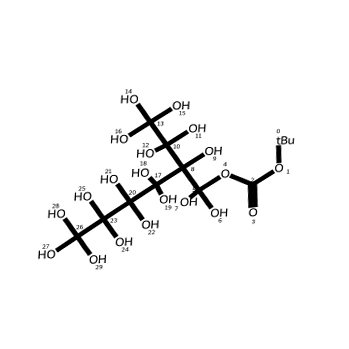 CC(C)(C)OC(=O)OC(O)(O)C(O)(C(O)(O)C(O)(O)O)C(O)(O)C(O)(O)C(O)(O)C(O)(O)O